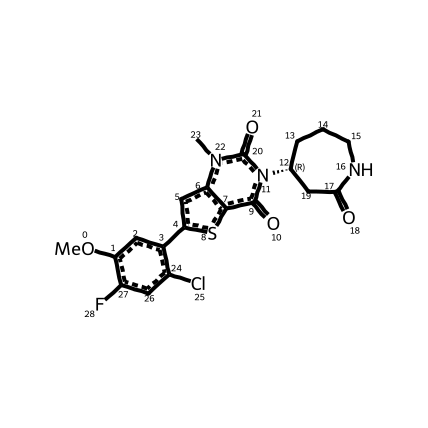 COc1cc(-c2cc3c(s2)c(=O)n([C@@H]2CCCNC(=O)C2)c(=O)n3C)c(Cl)cc1F